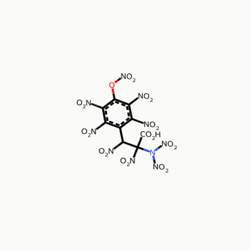 O=C(O)C(C(c1c([N+](=O)[O-])c([N+](=O)[O-])c(O[N+](=O)[O-])c([N+](=O)[O-])c1[N+](=O)[O-])[N+](=O)[O-])(N([N+](=O)[O-])[N+](=O)[O-])[N+](=O)[O-]